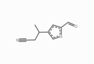 CC(CC#N)c1csc(C=O)c1